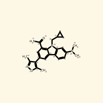 Cc1noc(C)c1-c1cc(C(N)=O)c2c(c1)c1ccc(N(C)C)cc1n2CC1CC1